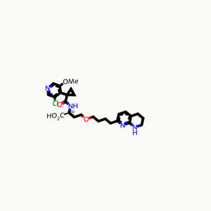 COc1cncc(Cl)c1C1(C(=O)N[C@@H](CCOCCCCc2ccc3c(n2)NCCC3)C(=O)O)CC1